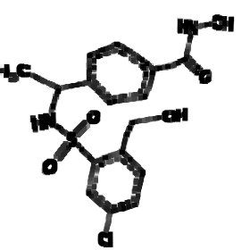 CC(NS(=O)(=O)c1cc(Cl)ccc1CO)c1ccc(C(=O)NO)cc1